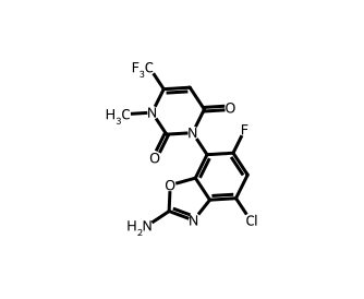 Cn1c(C(F)(F)F)cc(=O)n(-c2c(F)cc(Cl)c3nc(N)oc23)c1=O